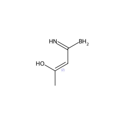 BC(=N)/C=C(/C)O